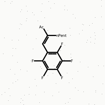 CCCCC/C(=C\c1c(F)c(F)c(F)c(F)c1F)C(C)=O